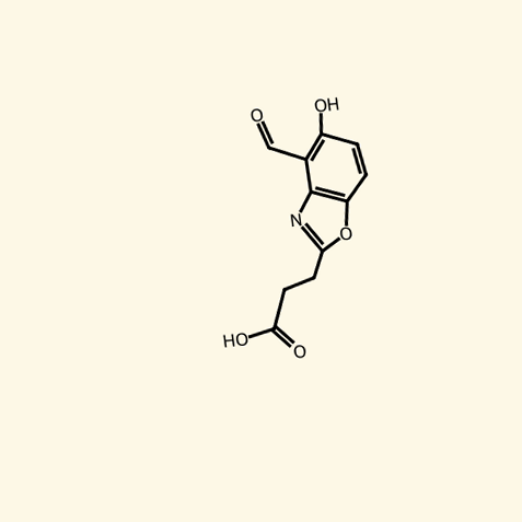 O=Cc1c(O)ccc2oc(CCC(=O)O)nc12